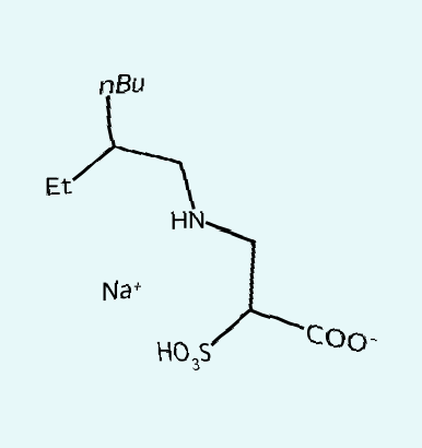 CCCCC(CC)CNCC(C(=O)[O-])S(=O)(=O)O.[Na+]